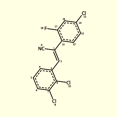 N#C/C(=C\c1cccc(Cl)c1Cl)c1ccc(Cl)cc1F